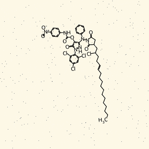 CCCCCCCCCCCCC=CCCC(Cl)CC1CC(=O)N(N(c2ccccc2)c2[nH]n(-c3c(Cl)cc(Cl)cc3Cl)c(=O)c2OC(=O)Nc2ccc([N+](=O)[O-])cc2)C1=O